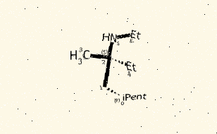 CCC[C@@H](C)C[C@](C)(CC)NCC